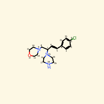 Clc1ccc(/C=C/C(CN2CCOCC2)N2CCNCC2)cc1